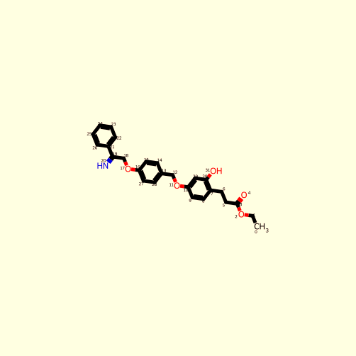 CCOC(=O)CCc1ccc(OCc2ccc(OCC(=N)c3ccccc3)cc2)cc1O